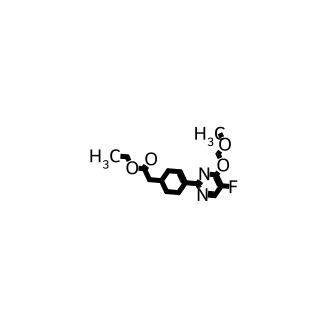 CCOC(=O)CC1CC=C(c2ncc(F)c(OCOC)n2)CC1